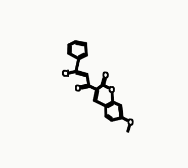 COc1ccc2cc(C(=O)C=C(Cl)c3ccccc3)c(=O)oc2c1